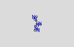 c1ccc(-c2cc(-c3ccc(-n4c5ccccc5c5ncccc54)cc3)cc(-c3cccc(-n4c5ccccc5c5ncccc54)c3)n2)nc1